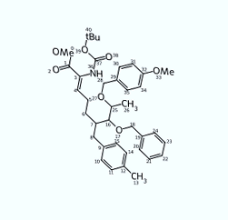 COC(=O)C(=CCCC(Cc1ccc(C)cc1)C(OCc1ccccc1)C(C)OCc1ccc(OC)cc1)NC(=O)OC(C)(C)C